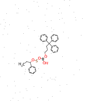 CCC(OSOB(O)OCCCC(c1ccccc1)(c1ccccc1)c1ccccc1)c1ccccc1